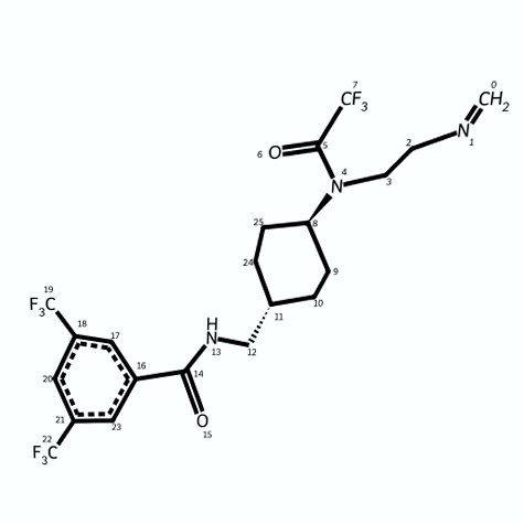 C=NCCN(C(=O)C(F)(F)F)[C@H]1CC[C@H](CNC(=O)c2cc(C(F)(F)F)cc(C(F)(F)F)c2)CC1